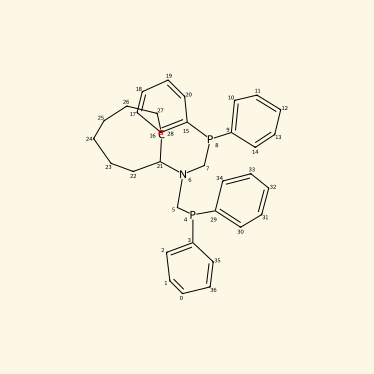 c1ccc(P(CN(CP(c2ccccc2)c2ccccc2)C2CCCCCCC2)c2ccccc2)cc1